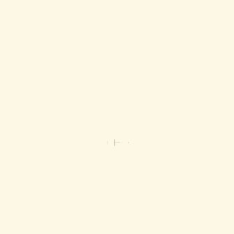 CC1CCC(CCCCC2CCCCC2C=O)CC1C